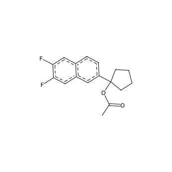 CC(=O)OC1(c2ccc3cc(F)c(F)cc3c2)CCCC1